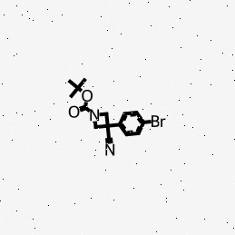 CC(C)(C)OC(=O)N1CC(C#N)(c2ccc(Br)cc2)C1